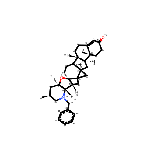 C[C@H]1C[C@H]2O[C@@]34CC[C@H]5[C@@H]6CCC7=CC(=O)CC[C@]7(C)[C@H]6CC56CC63C[C@@H]4[C@@H]2N(Cc2ccccc2)C1